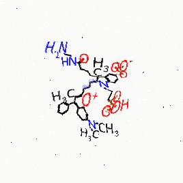 CCN(CC)c1ccc2c(-c3ccccc3)c(C)c(/C=C/C=C3\N(CCCS(=O)(=O)O)c4ccc(S(=O)(=O)[O-])cc4C3(C)CCCC(=O)NCCN)[o+]c2c1